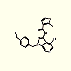 Cc1occc1C(=O)Nc1nn(Cc2ccc(CF)cc2)c2cncc(Cl)c12